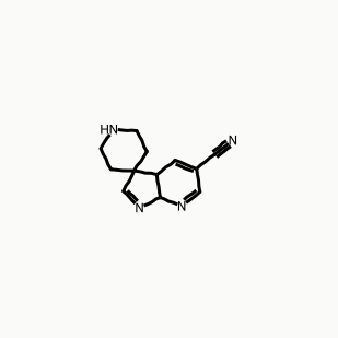 N#CC1=CC2C(N=C1)N=CC21CCNCC1